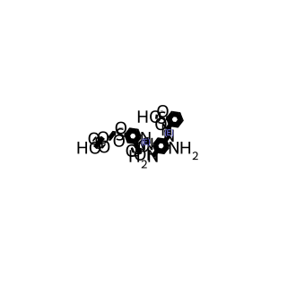 Nc1cc(N)c(/N=N/c2ccc(S(=O)(=O)CCOS(=O)(=O)O)cc2S(=O)(=O)O)cc1/N=N/c1ccccc1S(=O)(=O)O